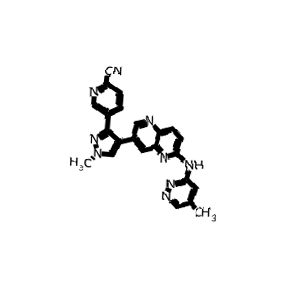 Cc1cnnc(Nc2ccc3ncc(-c4cn(C)nc4-c4ccc(C#N)nc4)cc3n2)c1